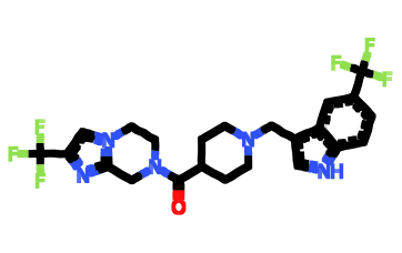 O=C(C1CCN(Cc2c[nH]c3ccc(C(F)(F)F)cc23)CC1)N1CCn2cc(C(F)(F)F)nc2C1